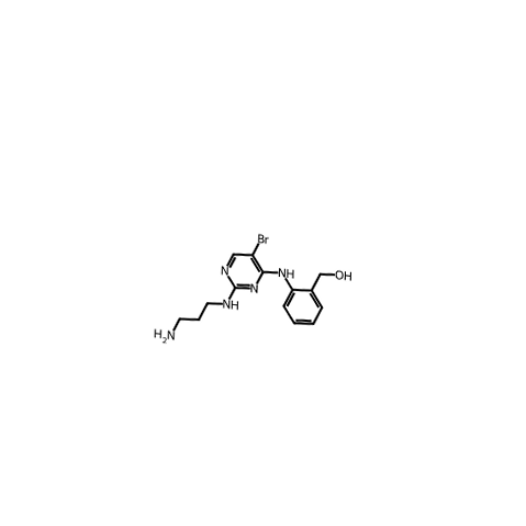 NCCCNc1ncc(Br)c(Nc2ccccc2CO)n1